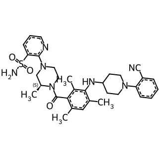 Cc1cc(C)c(C(=O)N2CCN(c3ncccc3S(N)(=O)=O)C[C@@H]2C)c(C)c1NC1CCN(c2ccccc2C#N)CC1